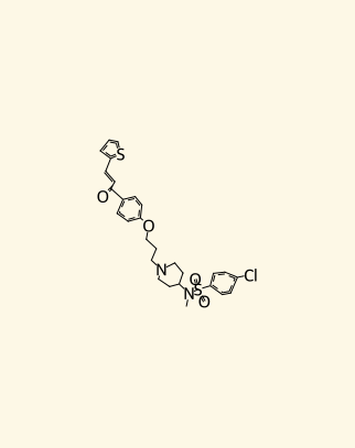 CN(C1CCN(CCCOc2ccc(C(=O)C=Cc3cccs3)cc2)CC1)S(=O)(=O)c1ccc(Cl)cc1